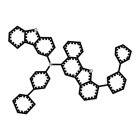 c1ccc(-c2ccc(N(c3ccc4oc5ccccc5c4c3)c3cc4c5cccc(-c6cccc(-c7ccccc7)c6)c5oc4c4ccccc34)cc2)cc1